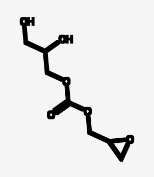 O=C(OCC(O)CO)OCC1CO1